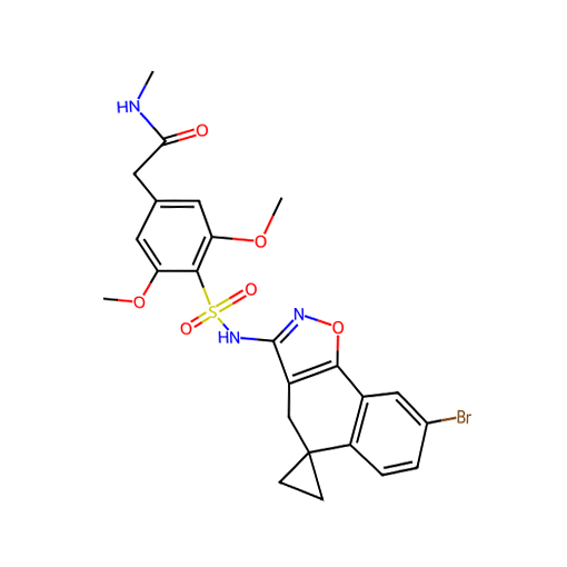 CNC(=O)Cc1cc(OC)c(S(=O)(=O)Nc2noc3c2CC2(CC2)c2ccc(Br)cc2-3)c(OC)c1